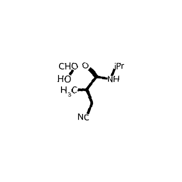 CC(C)NC(=O)C(C)CC#N.O=CO